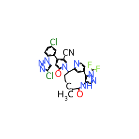 CC1CCCC(n2cc(C#N)c(-c3cc(Cl)ccc3-n3cc(Cl)nn3)cc2=O)c2cc(ccn2)-c2c(cnn2C(F)F)NC1=O